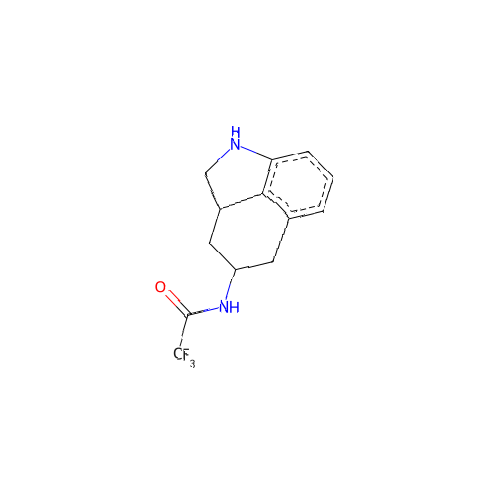 O=C(NC1Cc2cccc3c2C(CN3)C1)C(F)(F)F